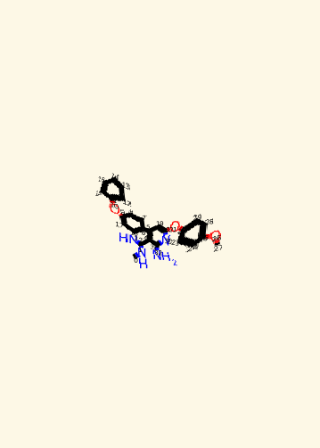 CNC(=N)c1c(-c2ccc(Oc3ccccc3)cc2)cc(Oc2ccc(OC)cc2)nc1N